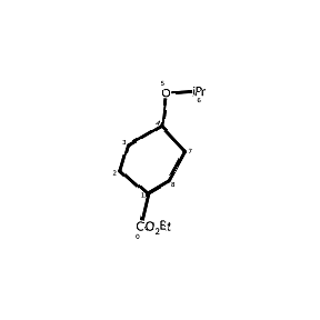 CCOC(=O)C1CCC(OC(C)C)CC1